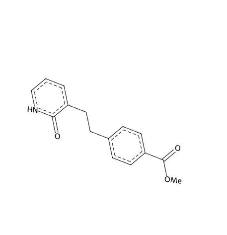 COC(=O)c1ccc(CCc2ccc[nH]c2=O)cc1